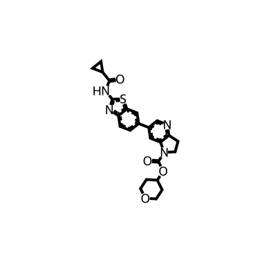 O=C(Nc1nc2ccc(-c3cnc4c(c3)N(C(=O)OC3CCOCC3)CC4)cc2s1)C1CC1